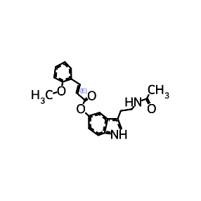 COc1ccccc1/C=C/C(=O)Oc1ccc2[nH]cc(CCNC(C)=O)c2c1